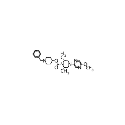 C[C@@H]1CN(c2cnc(OC(F)(F)F)cn2)C[C@H](C)N1C(=O)OC1CCN(Cc2ccccc2)CC1